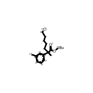 CC(C)(C)OC(=O)C(C)(CCCCCCl)c1cccc(I)c1